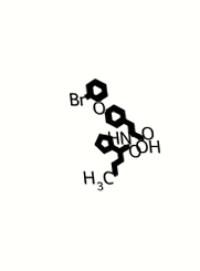 CCCCC(C(=O)NC(=Cc1ccc(Oc2ccccc2Br)cc1)C(=O)O)C1CCCC1